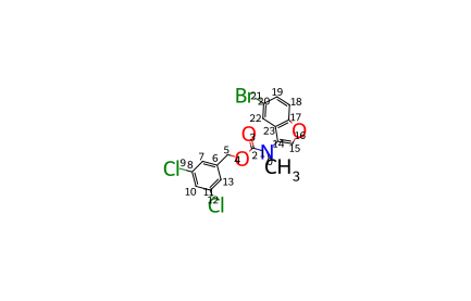 CN(C(=O)OCc1cc(Cl)cc(Cl)c1)c1coc2ccc(Br)cc12